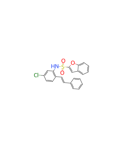 O=S(=O)(Nc1cc(Cl)ccc1C=Cc1ccccc1)c1cc2ccccc2o1